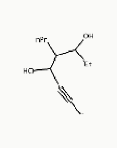 [CH2]C#CC(O)C(CCC)C(O)CC